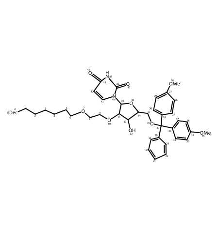 CCCCCCCCCCCCCCCCOCCOC1C(O)C(COC(c2ccccc2)(c2ccc(OC)cc2)c2ccc(OC)cc2)OC1n1ccc(=O)[nH]c1=O